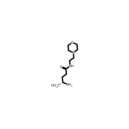 N[C@@H](CCC(=O)NCCN1CCOCC1)C(=O)O